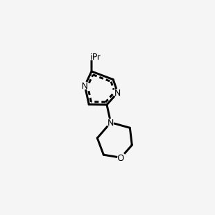 CC(C)c1cnc(N2CCOCC2)cn1